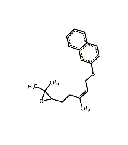 CC(=CCSc1ccc2ccccc2c1)CCC1OC1(C)C